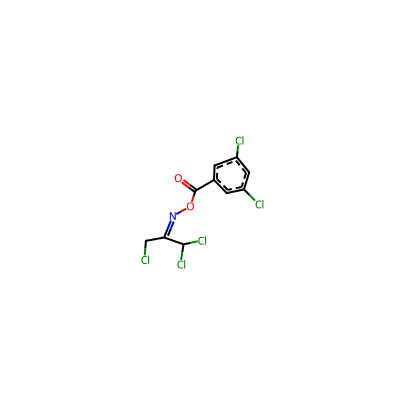 O=C(ON=C(CCl)C(Cl)Cl)c1cc(Cl)cc(Cl)c1